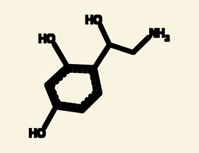 NCC(O)c1ccc(O)cc1O